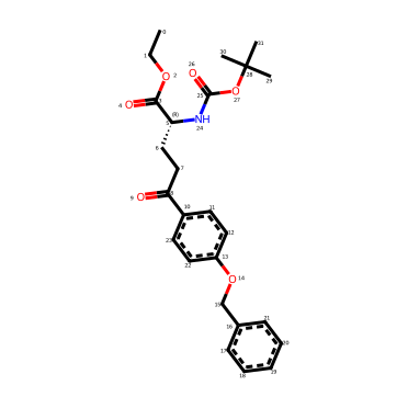 CCOC(=O)[C@@H](CCC(=O)c1ccc(OCc2ccccc2)cc1)NC(=O)OC(C)(C)C